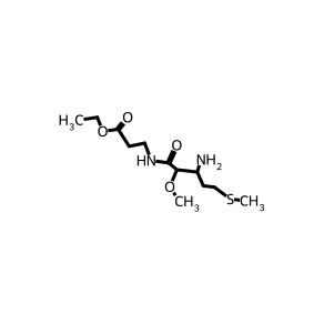 CCOC(=O)CCNC(=O)C(OC)C(N)CCSC